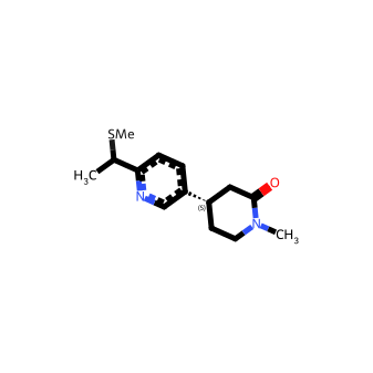 CSC(C)c1ccc([C@H]2CCN(C)C(=O)C2)cn1